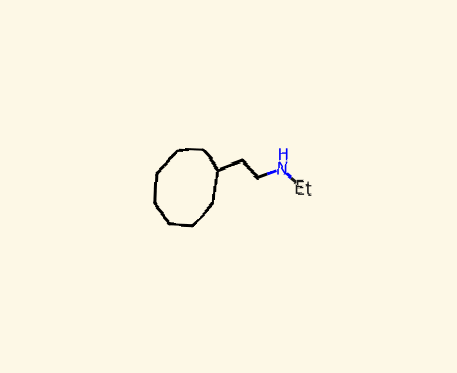 CCNCCC1CCCCCCC1